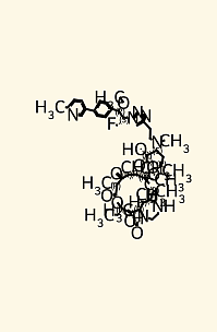 CC[C@H]1OC(=O)[C@H](C)C(=O)[C@H](C)[C@@H](O[C@@H]2O[C@H](C)C[C@H](N(C)CCc3cn([C@H](CF)[C@H](OC)c4ccc(-c5ccc(C)nc5)cc4)nn3)[C@H]2O)[C@](C)(OC)C[C@@H](C)[C@@H]2NCCN3C(=O)O[C@@]1(C)[C@H]3[C@H]2C